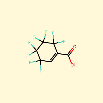 O=C(O)C1=CC(F)(F)C(F)(F)C(F)(F)C1(F)F